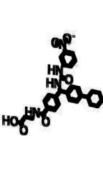 O=C(O)CCNC(=O)c1ccc(C(NC(=O)Nc2cccc([N+](=O)[O-])c2)c2ccc(C3CCCCC3)cc2)cc1